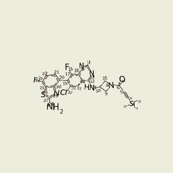 C[Si](C)(C)C#CC(=O)N1CC(Nc2ncnc3c(F)c(-c4ccc(F)c5sc(N)nc45)c(Cl)cc23)C1